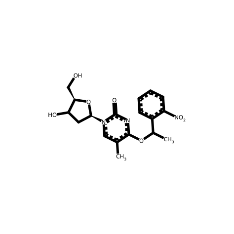 Cc1cn([C@H]2CC(O)[C@@H](CO)O2)c(=O)nc1OC(C)c1ccccc1[N+](=O)[O-]